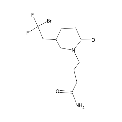 NC(=O)CCCN1CC(CC(F)(F)Br)CCC1=O